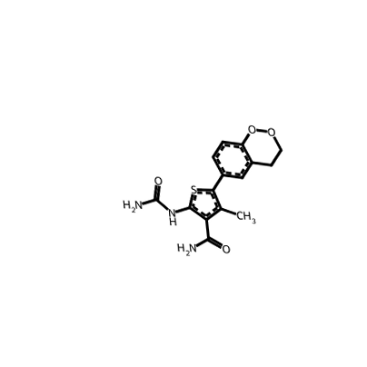 Cc1c(-c2ccc3c(c2)CCOO3)sc(NC(N)=O)c1C(N)=O